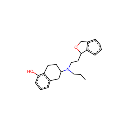 CCCN(CCC1OCc2ccccc21)C1CCc2c(O)cccc2C1